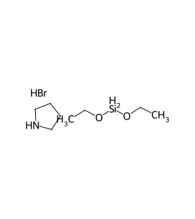 Br.C1CCNC1.CCO[SiH2]OCC